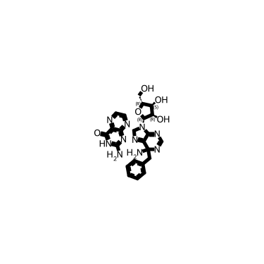 NC1(Cc2ccccc2)N=CN=C2C1=NCN2[C@@H]1O[C@H](CO)[C@@H](O)[C@H]1O.Nc1nc2nccnc2c(=O)[nH]1